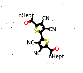 CCCCCCCC(=O)c1sc(-c2sc(C(=O)CCCCCCC)c(C#N)c2C#N)c(C#N)c1C#N